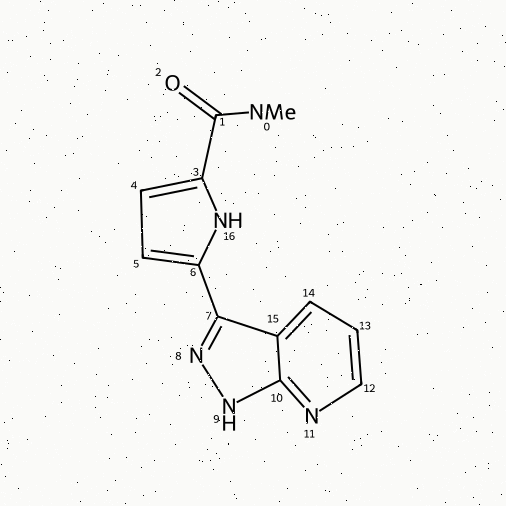 CNC(=O)c1ccc(-c2n[nH]c3ncccc23)[nH]1